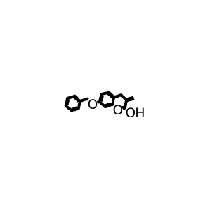 C=C(Cc1ccc(OCc2ccccc2)cc1)C(=O)O